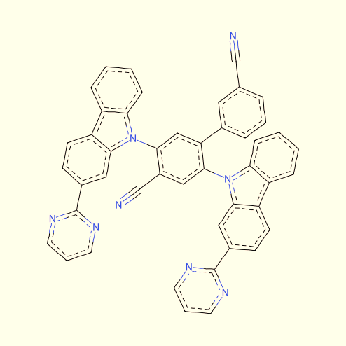 N#Cc1cccc(-c2cc(-n3c4ccccc4c4ccc(-c5ncccn5)cc43)c(C#N)cc2-n2c3ccccc3c3ccc(-c4ncccn4)cc32)c1